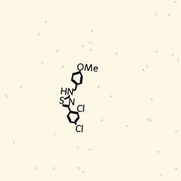 COc1ccc(CNc2nc(-c3ccc(Cl)cc3Cl)cs2)cc1